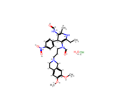 CCC1=C(N(C=O)CCCN2CCc3cc(OC)c(OC)cc3C2)C(c2ccc([N+](=O)[O-])cc2)C(NC=O)=C(C)N1.Cl.O